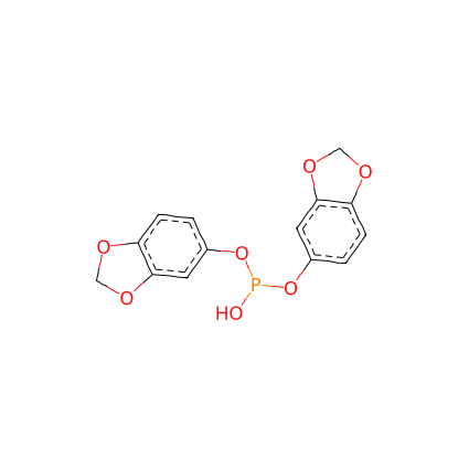 OP(Oc1ccc2c(c1)OCO2)Oc1ccc2c(c1)OCO2